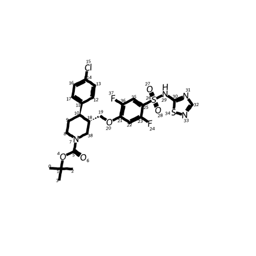 CC(C)(C)OC(=O)N1CC[C@@H](c2ccc(Cl)cc2)[C@H](COc2cc(F)c(S(=O)(=O)Nc3ncns3)cc2F)C1